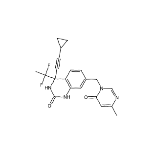 Cc1cc(=O)n(Cc2ccc3c(c2)NC(=O)NC3(C#CC2CC2)C(C)(F)F)cn1